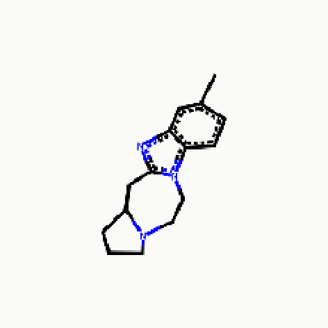 Cc1ccc2c(c1)nc1n2CCN2CCCC2C1